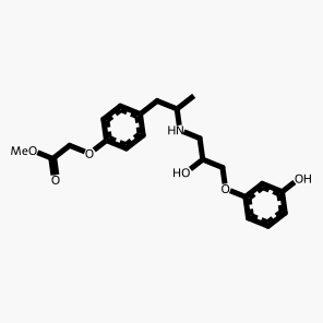 COC(=O)COc1ccc(CC(C)NCC(O)COc2cccc(O)c2)cc1